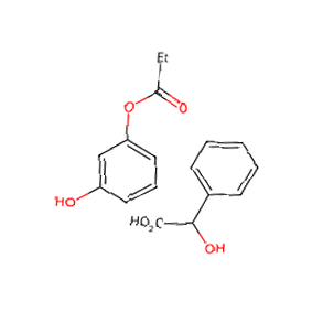 CCC(=O)Oc1cccc(O)c1.O=C(O)C(O)c1ccccc1